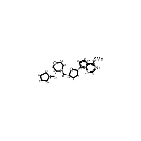 CSc1ncnn2c([C@H]3CC[C@@H](CN4CCOC[C@H]4CN4CCCC4)O3)ccc12